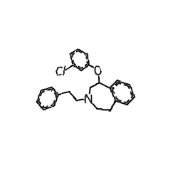 Clc1cccc(OC2CN(CCc3ccccc3)CCc3ccccc32)c1